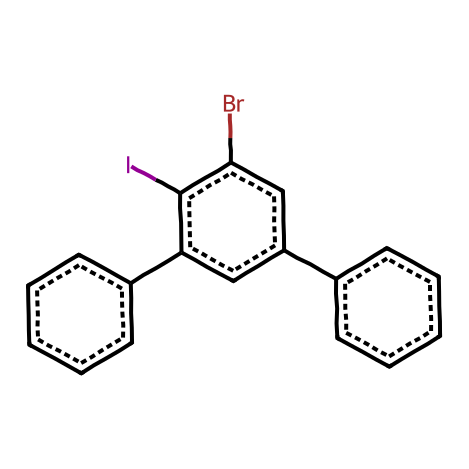 Brc1cc(-c2ccccc2)cc(-c2ccccc2)c1I